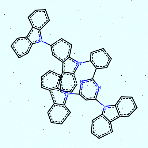 c1ccc(-n2c3ccccc3c3cc(-n4c5ccccc5c5ccccc54)ccc32)c(-c2nc(-n3c4ccccc4c4ccccc43)cc(-n3c4ccccc4c4ccccc43)n2)c1